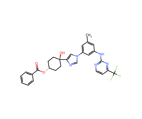 Cc1cc(Nc2nccc(C(F)(F)F)n2)cc(-n2cnc([C@]3(O)CC[C@H](OC(=O)c4ccccc4)CC3)c2)c1